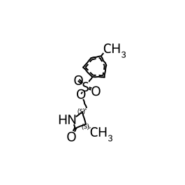 Cc1ccc(S(=O)(=O)OC[C@H]2NC(=O)[C@H]2C)cc1